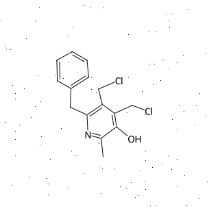 Cc1nc(Cc2ccccc2)c(CCl)c(CCl)c1O